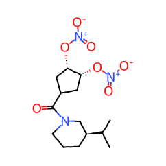 CC(C)[C@H]1CCCN(C(=O)C2C[C@H](O[N+](=O)[O-])[C@H](O[N+](=O)[O-])C2)C1